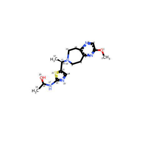 COc1cnc2c(n1)CCN([C@H](C)c1cnc(NC(C)O)s1)CC2